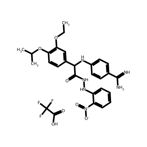 CCOc1cc(C(Nc2ccc(C(=N)N)cc2)C(=O)NNc2ccccc2[N+](=O)[O-])ccc1OC(C)C.O=C(O)C(F)(F)F